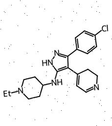 CCN1CCC(Nc2[nH]nc(-c3ccc(Cl)cc3)c2C2=CC=NCC2)CC1